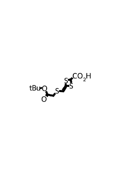 CC(C)(C)OC(=O)CSC=C1SC(C(=O)O)S1